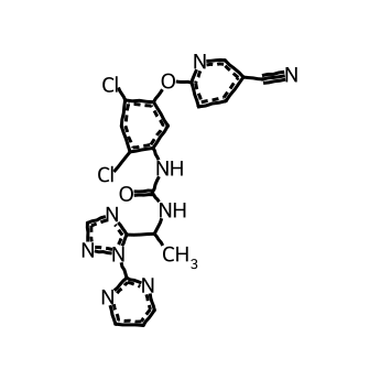 CC(NC(=O)Nc1cc(Oc2ccc(C#N)cn2)c(Cl)cc1Cl)c1ncnn1-c1ncccn1